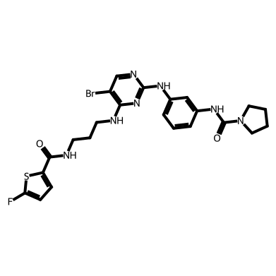 O=C(NCCCNc1nc(Nc2cccc(NC(=O)N3CCCC3)c2)ncc1Br)c1ccc(F)s1